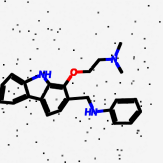 CN(C)CCOc1c(CNc2ccccc2)ccc2c1[nH]c1ccccc12